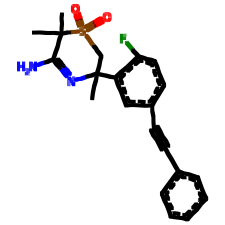 CC1(c2cc(C#Cc3ccccc3)ccc2F)CS(=O)(=O)C(C)(C)C(N)=N1